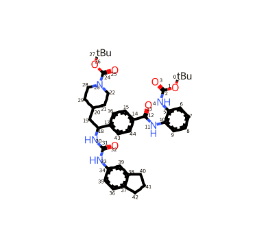 CC(C)(C)OC(=O)Nc1ccccc1NC(=O)c1ccc(C(CC2CCN(C(=O)OC(C)(C)C)CC2)NC(=O)Nc2ccc3c(c2)CCC3)cc1